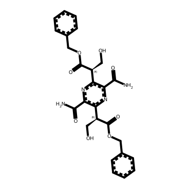 NC(=O)c1nc([C@H](CO)C(=O)OCc2ccccc2)c(C(N)=O)nc1[C@H](CO)C(=O)OCc1ccccc1